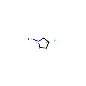 CN1C[CH][C@@H](F)C1